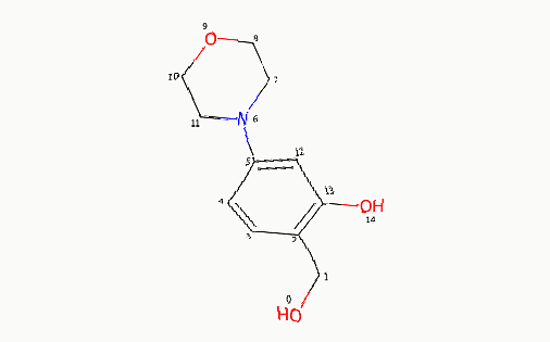 OCc1ccc(N2CCOCC2)cc1O